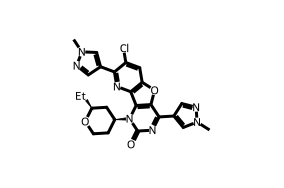 CC[C@H]1C[C@@H](n2c(=O)nc(-c3cnn(C)c3)c3oc4cc(Cl)c(-c5cnn(C)c5)nc4c32)CCO1